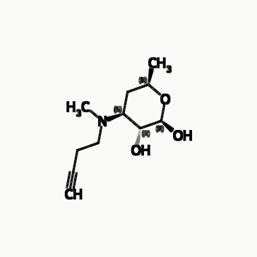 C#CCCN(C)[C@H]1C[C@@H](C)O[C@@H](O)[C@@H]1O